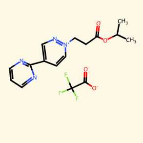 CC(C)OC(=O)CC[n+]1ccc(-c2ncccn2)cn1.O=C([O-])C(F)(F)F